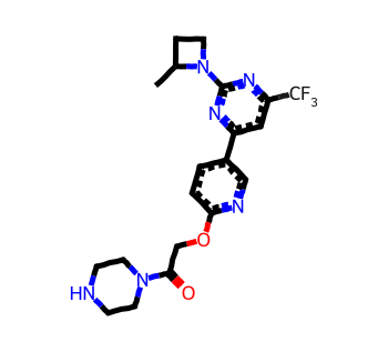 CC1CCN1c1nc(-c2ccc(OCC(=O)N3CCNCC3)nc2)cc(C(F)(F)F)n1